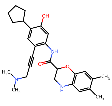 Cc1cc2c(cc1C)OC(C(=O)Nc1cc(O)c(C3CCCC3)cc1C#CCN(C)C)CN2